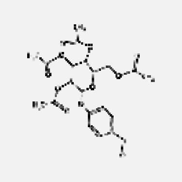 CC(=O)OCC1OC(Oc2ccc(C=O)cc2)C(OC(C)=O)C(OC(C)=O)C1OC(C)=O